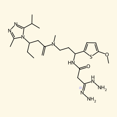 C=C(CC(CC)n1c(C)nnc1C(C)C)N(C)CCC(NC(=O)C/C(=N/N)NN)c1ccc(OC)s1